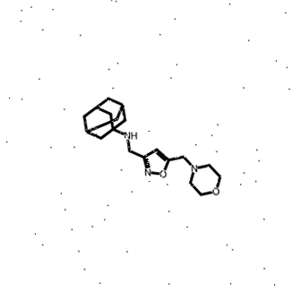 c1c(CNC23CC4CC(CC(C4)C2)C3)noc1CN1CCOCC1